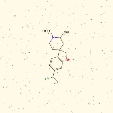 CC(C)(C)C1CC(CO)(c2ccc(C(F)F)cc2)CCN1C(=O)O